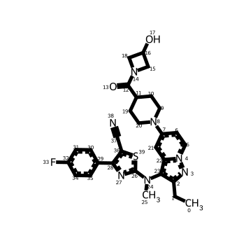 CCc1nn2ccc(N3CCC(C(=O)N4CC(O)C4)CC3)cc2c1N(C)c1nc(-c2ccc(F)cc2)c(C#N)s1